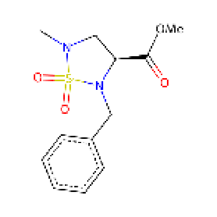 COC(=O)[C@@H]1CN(C)S(=O)(=O)N1Cc1ccccc1